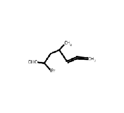 C=C=CC(C)CC(C=O)C(C)C